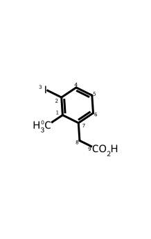 Cc1c(I)cccc1CC(=O)O